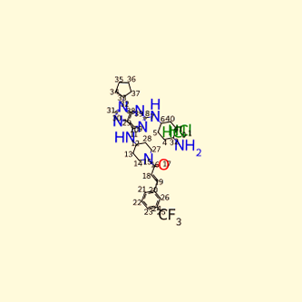 Cl.Cl.NC1CCC(Nc2nc(NC3CCN(C(=O)C=Cc4cccc(C(F)(F)F)c4)CC3)c3ncn(C4CCCC4)c3n2)CC1